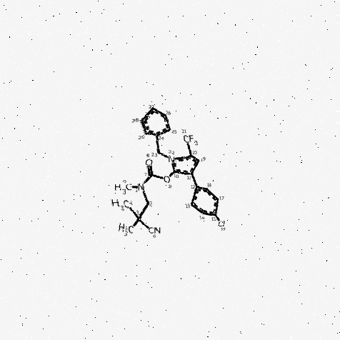 CN(CC(C)(C)C#N)C(=O)Oc1c(-c2ccc(Cl)cc2)cc(C(F)(F)F)n1Cc1ccccc1